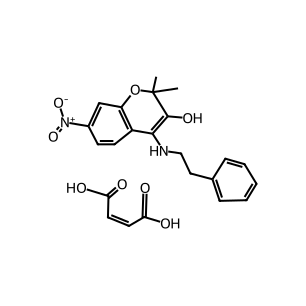 CC1(C)Oc2cc([N+](=O)[O-])ccc2C(NCCc2ccccc2)=C1O.O=C(O)/C=C\C(=O)O